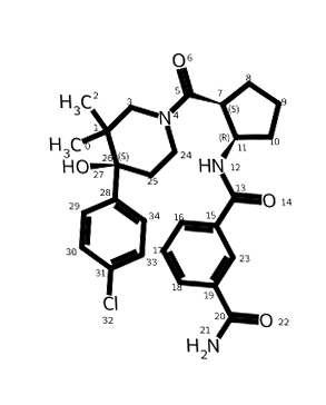 CC1(C)CN(C(=O)[C@H]2CCC[C@H]2NC(=O)c2cccc(C(N)=O)c2)CC[C@]1(O)c1ccc(Cl)cc1